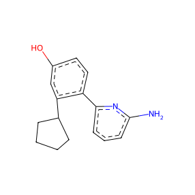 Nc1cccc(-c2ccc(O)cc2C2CCCC2)n1